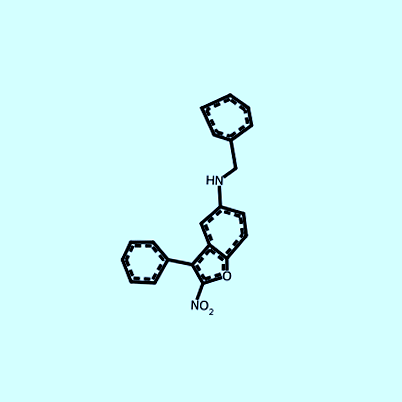 O=[N+]([O-])c1oc2ccc(NCc3ccccc3)cc2c1-c1ccccc1